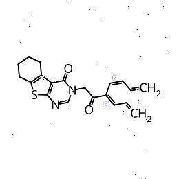 C=C/C=C\C(=C/C=C)C(=O)Cn1cnc2sc3c(c2c1=O)CCCC3